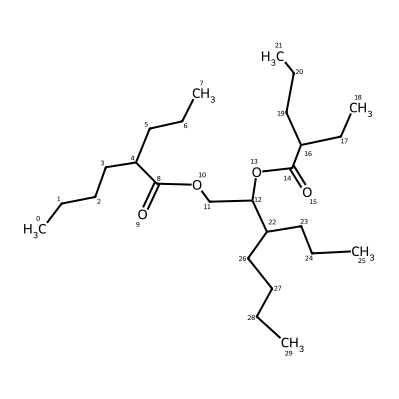 CCCCC(CCC)C(=O)OCC(OC(=O)C(CC)CCC)C(CCC)CCCC